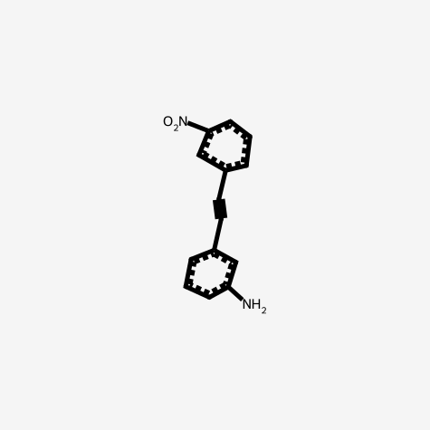 Nc1cccc(C#Cc2cccc([N+](=O)[O-])c2)c1